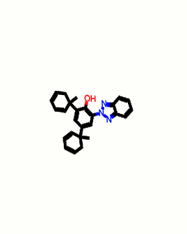 CC1(c2cc(-n3nc4ccccc4n3)c(O)c(C3(C)C=CC=CC3)c2)C=CC=CC1